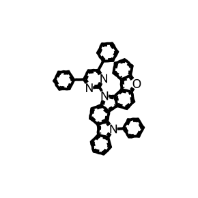 c1ccc(-c2cc(-c3ccccc3)nc(-n3c4ccc5c6ccccc6n(-c6ccccc6)c5c4c4ccc5oc6ccccc6c5c43)n2)cc1